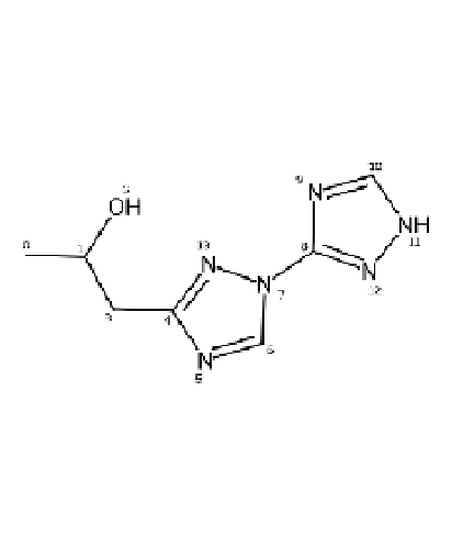 CC(O)Cc1ncn(-c2nc[nH]n2)n1